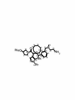 COC1CCN(C(=O)C2c3cnn(C(C)C)c3NC(c3cccc(CN(C)CCN)c3)C23CCCCCCC3)C1